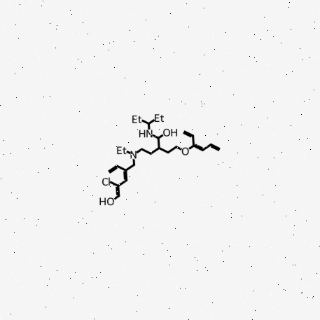 C=C/C=C(\C=C)OCCC(CCN(CC)C/C(C=C)=C/C(Cl)=C/O)C(O)NC(CC)CC